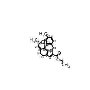 CCOC(=O)c1cc2c(n1Cc1ccc(C)nc1)C(=O)C(=CN(C)C)CC2